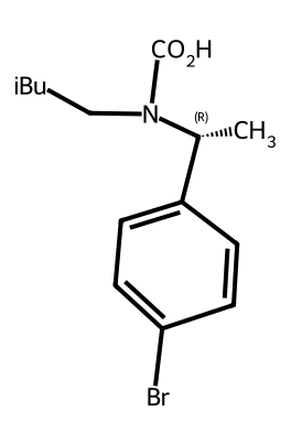 CCC(C)CN(C(=O)O)[C@H](C)c1ccc(Br)cc1